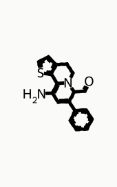 NC1=C2c3sccc3CCN2C(C=O)C(c2ccccc2)=C1